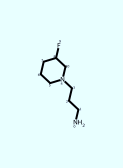 NCCCN1CCCC(F)C1